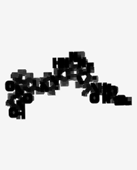 Cc1c(C(C)NC(=O)c2noc(C(C)(C)C)n2)ccc(-c2ncnc3[nH]c4cc(N5CCN(Cc6ccc7c(c6)N(C6CCC(=O)NC6=O)C(=O)C7(C)C)CC5)ccc4c23)c1F